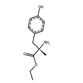 CCOC(=O)[C@@](C)(N)Cc1ccc(O)cc1